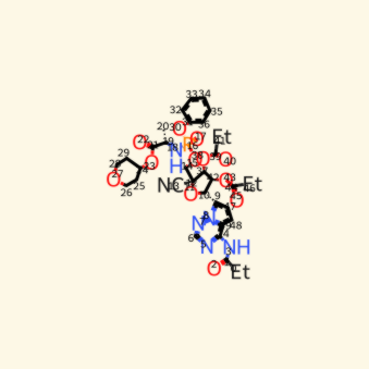 CCC(=O)Nc1ncnn2c([C@@H]3O[C@](C#N)(COP(=O)(N[C@@H](C)C(=O)OC4CCOCC4)Oc4ccccc4)[C@@H](OC(=O)CC)[C@H]3OC(=O)CC)ccc12